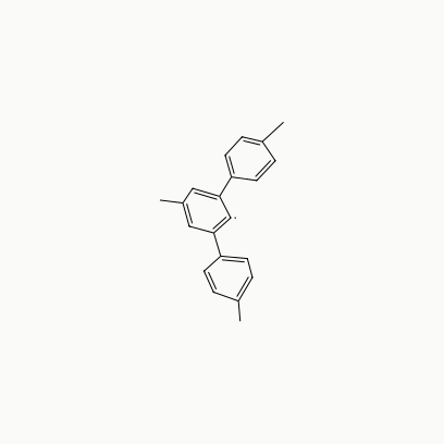 Cc1ccc(-c2[c]c(-c3ccc(C)cc3)cc(C)c2)cc1